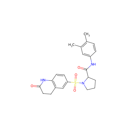 Cc1ccc(NC(=O)C2CCCN2S(=O)(=O)c2ccc3c(c2)CCC(=O)N3)cc1C